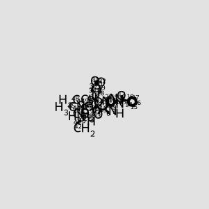 [2H]C[C@H]1OC(C2C=Nc3c(NC(=O)c4ccccc4)ncnc32)[C@@H](OC(=S)N2CCS(=O)(=O)CC2)[C@H]1OP(ONCC=C)N(C(C)C)C(C)C